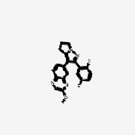 COc1cnc2ccc(-c3c(-c4cc(F)ccc4F)nn4c3CCC4)cc2n1